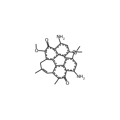 COc1c2c3c4c(c(C)c(=O)c5c(N)cc(OC)c(c6c(OC)cc(N)c(c1=O)c63)c54)C=C(C)C2